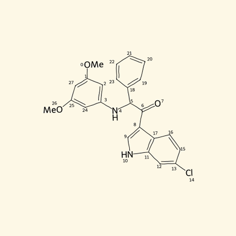 COc1cc(NC(C(=O)c2c[nH]c3cc(Cl)ccc23)c2ccccc2)cc(OC)c1